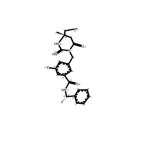 CC(C)C[C@]1(C)CC(=O)N(Cc2cc(F)cc(C(=O)N[C@@H](C)c3ccccc3)c2)C(=N)N1